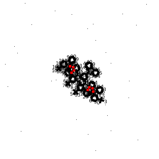 CC(C)(C)c1cccc([Si](c2ccccc2)(c2ccccc2)c2cccc(N3c4cc(-n5c6ccccc6c6ccccc65)cc5c4B(c4cc(C(C)(C)C)cc(-c6ccccc6)c43)c3cc(C(C)(C)C)cc(-c4ccccc4)c3N5c3cccc([Si](c4ccccc4)(c4ccccc4)c4cccc(C(C)(C)C)c4)c3)c2)c1